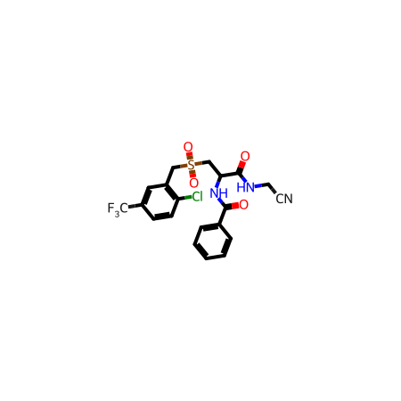 N#CCNC(=O)C(CS(=O)(=O)Cc1cc(C(F)(F)F)ccc1Cl)NC(=O)c1ccccc1